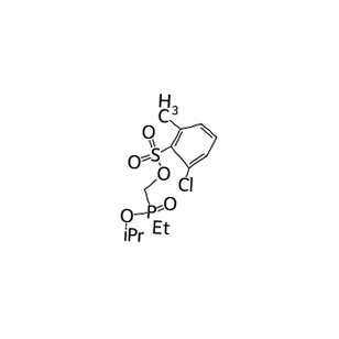 CCP(=O)(COS(=O)(=O)c1c(C)cccc1Cl)OC(C)C